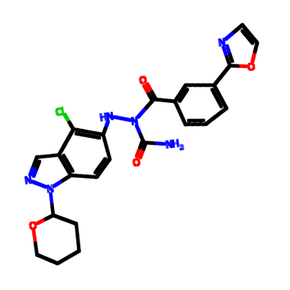 NC(=O)N(Nc1ccc2c(cnn2C2CCCCO2)c1Cl)C(=O)c1cccc(-c2ncco2)c1